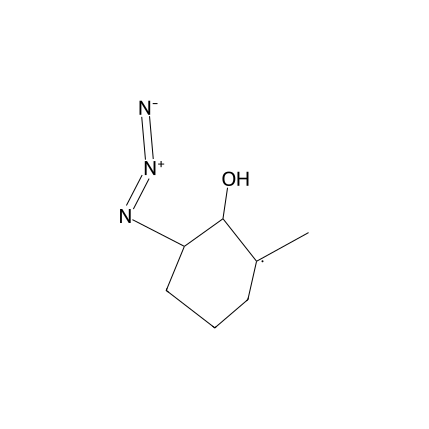 C[C]1CCCC(N=[N+]=[N-])C1O